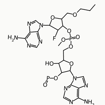 CCCOCC1OC(n2cnc3c(N)ncnc32)C(F)C1OP(=O)(OC)OCC1OC(n2cnc3c(N)ncnc32)C(OP=O)C1O